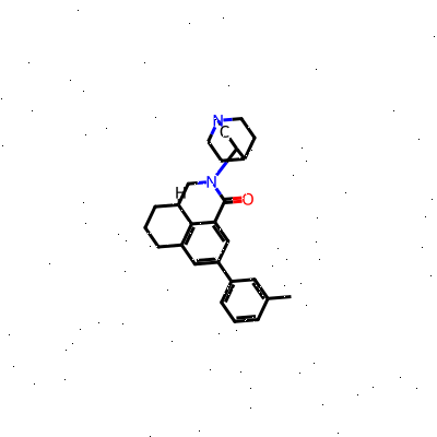 Cc1cccc(-c2cc3c4c(c2)C(=O)N(C2CN5CCC2CC5)C[C@@H]4CCC3)c1